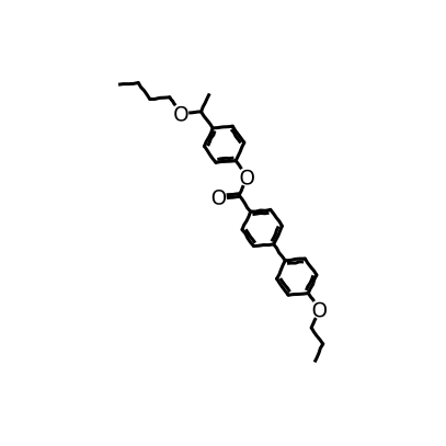 CCCCOC(C)c1ccc(OC(=O)c2ccc(-c3ccc(OCCC)cc3)cc2)cc1